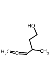 C=C=CC(C)CCO